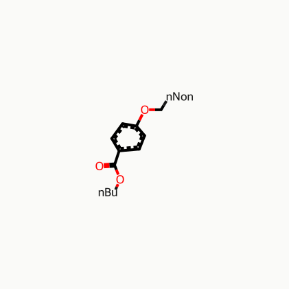 CCCCCCCCCCOc1ccc(C(=O)OCCCC)cc1